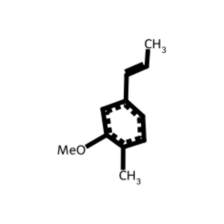 CC=Cc1ccc(C)c(OC)c1